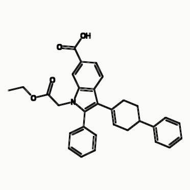 CCOC(=O)Cn1c(-c2ccccc2)c(C2=CCC(c3ccccc3)CC2)c2ccc(C(=O)O)cc21